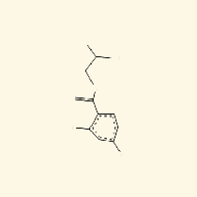 O=C(NCC(O)C(F)(F)F)c1ccc(Br)cc1F